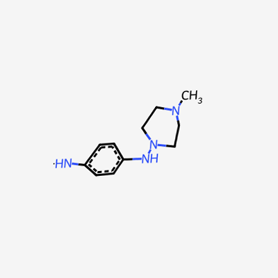 CN1CCN(Nc2ccc([NH])cc2)CC1